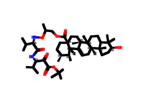 CC(COC(=O)[C@]12CC[C@@H](C)[C@H](C)[C@H]1C1=CC[C@@H]3[C@@]4(C)CC[C@H](O)C(C)(C)C4CC[C@@]3(C)[C@]1(C)CC2)ON[C@H](C(=O)N[C@H](C(=O)C(=O)OC(C)(C)C)C(C)C)C(C)C